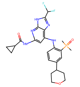 CP(C)(=O)c1cc(C2CCOCC2)ccc1Nc1cc(NC(=O)C2CC2)nc2[nH]c(C(F)F)nc12